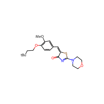 COc1cc(C=C2SC(N3CCOCC3)=NC2=O)ccc1OCCC(C)(C)C